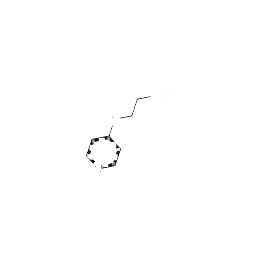 COCCNc1ccncc1